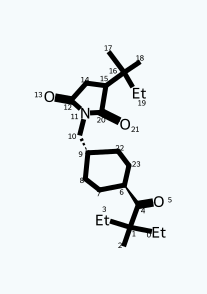 CCC(C)(CC)C(=O)[C@H]1CC[C@H](CN2C(=O)CC(C(C)(C)CC)C2=O)CC1